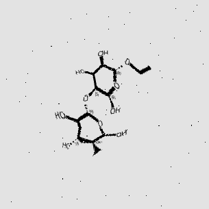 CCO[C@@H]1O[C@@H](O)[C@@H](O[C@@H]2OC(O)[C@@H](C)[C@H](O)C2O)C(O)C1O